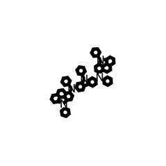 c1ccc(N(c2ccc3c4ccc(N(c5ccccc5)c5ccc6c7c5ccc5cccc(c57)n6-c5ccccc5)cc4n(-c4ccccc4)c3c2)c2ccc3c4c2ccc2cccc(c24)n3-c2ccccc2)cc1